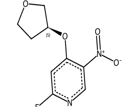 O=[N+]([O-])c1cnc(F)cc1O[C@H]1CCOC1